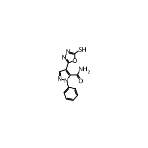 NC(=O)c1c(-c2nnc(S)o2)cnn1-c1ccccc1